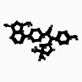 C[C@@H]1C[C@@H](F)c2ncnc(N3CCN(C(=O)[C@@H](c4ccc(Br)cc4)[C@@H]4CCC(C)(C)N4)CC3)c21